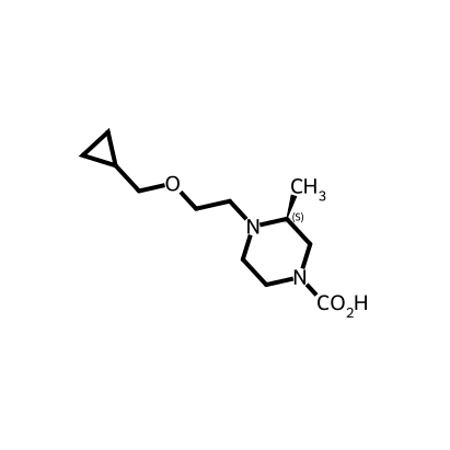 C[C@H]1CN(C(=O)O)CCN1CCOCC1CC1